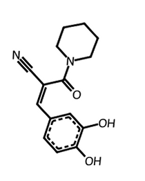 N#CC(=Cc1ccc(O)c(O)c1)C(=O)N1CCCCC1